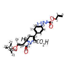 C=CCOC(=O)Nc1ccc(C2=C(C(=O)O)N3C(=O)[C@H]([C@@H](C)O[Si](C)(C)C)[C@H]3C2)cc1